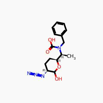 C[C@@H]([C@@H]1CC[C@@H](N=[N+]=[N-])C(O)O1)N(Cc1ccccc1)C(=O)O